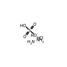 Cl.N.N.O=S(=O)(O)O